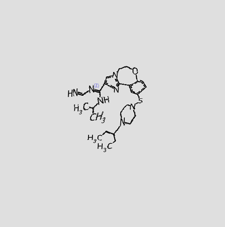 CCC(CC)N1CCN(Sc2ccc3c(c2)-c2nc(/C(=N/C=N)NC(C)C)cn2CCO3)CC1